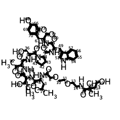 CC(C)C[C@H](NC(=O)COCCOCCNC(=O)C(C)(C)CCO)C(=O)N[C@H](C(=O)NC(C(=O)N[C@@H](CO)C(=O)N1CCC[C@H]1C(=O)N[C@@H](Cc1c[nH]c2ccccc12)C(=O)N[C@@H](Cc1ccc(O)cc1)C(=O)O)C(C)C)[C@@H](C)O